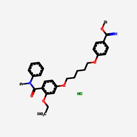 CCOC(=N)c1ccc(OCCCCCOc2ccc(C(=O)N(c3ccccc3)C(C)C)c(OCC(=O)OCC)c2)cc1.Cl